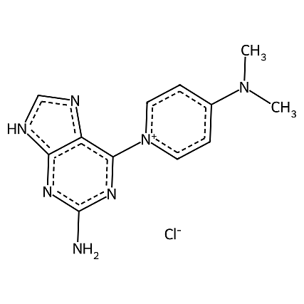 CN(C)c1cc[n+](-c2nc(N)nc3[nH]cnc23)cc1.[Cl-]